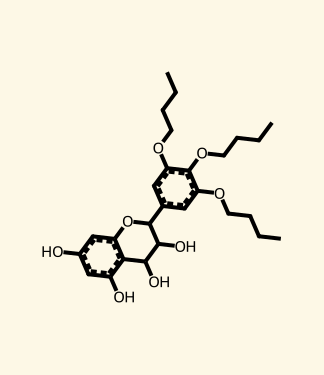 CCCCOc1cc(C2Oc3cc(O)cc(O)c3C(O)C2O)cc(OCCCC)c1OCCCC